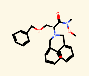 CON(C)C(=O)[C@H](COCc1ccccc1)N(Cc1ccccc1)Cc1ccccc1